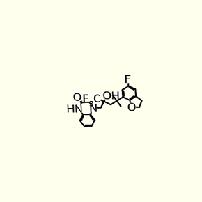 CC(C)(CC(O)(CN1CC(=O)Nc2ccccc21)C(F)(F)F)c1cc(F)cc2c1OCC2